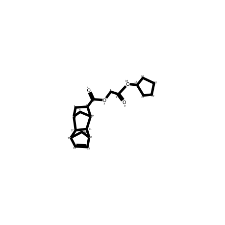 O=C(COC(=O)C1CC2CC1C1C3C=CC(C3)C21)OC1CCCC1